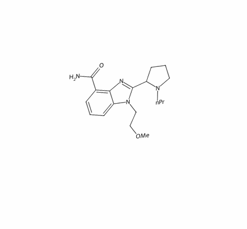 CCCN1CCCC1c1nc2c(C(N)=O)cccc2n1CCOC